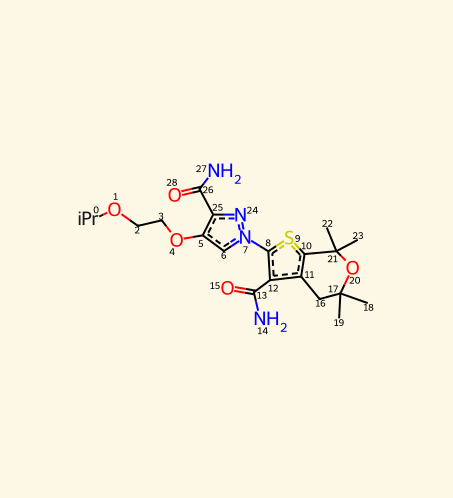 CC(C)OCCOc1cn(-c2sc3c(c2C(N)=O)CC(C)(C)OC3(C)C)nc1C(N)=O